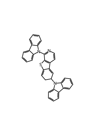 C1=c2sc3c(-n4c5ccccc5c5ccccc54)nccc3c2=CC(n2c3ccccc3c3ccccc32)C1